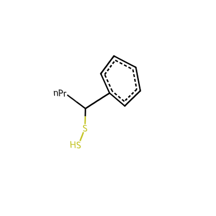 CCCC(SS)c1ccccc1